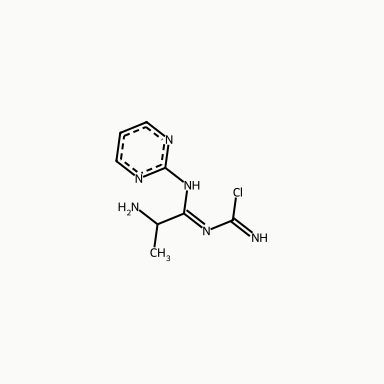 CC(N)/C(=N/C(=N)Cl)Nc1ncccn1